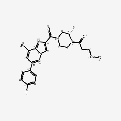 CCOCCC(=O)N1CCN(C(=O)c2cn3nc(-c4ccc(F)cc4)cc(C(C)C)c3n2)C[C@@H]1C